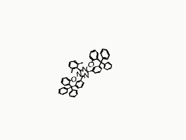 Cc1cccc(C)c1-c1nc(-c2cccc3c2Oc2ccccc2C3(c2ccccc2)c2ccccc2)nc(-c2cccc3c2Oc2ccccc2C3(c2ccccc2)c2ccccc2)n1